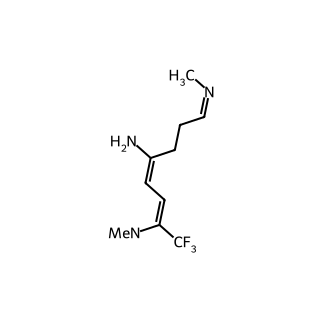 C/N=C\CC/C(N)=C\C=C(/NC)C(F)(F)F